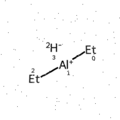 C[CH2][Al+][CH2]C.[2H-]